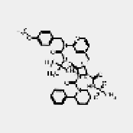 COc1ccc(CN(C(=O)OC(C)(C)C)c2cc(C[C@H]3C(=O)N(C(=O)N4CCCCC4c4ccccc4)[C@@H]3C(=O)NS(C)(=O)=O)ccn2)cc1